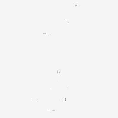 CC(C)(C)OC(=O)N1CCC(C(O)c2cccc(Br)n2)CC1